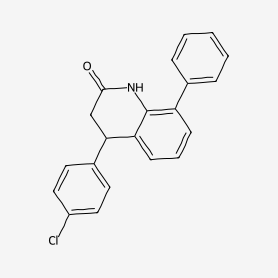 O=C1CC(c2ccc(Cl)cc2)c2cccc(-c3ccccc3)c2N1